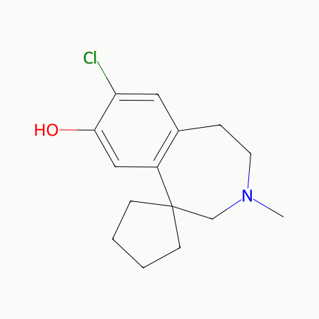 CN1CCc2cc(Cl)c(O)cc2C2(CCCC2)C1